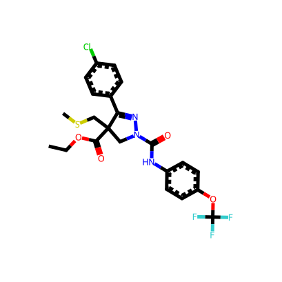 CCOC(=O)C1(CSC)CN(C(=O)Nc2ccc(OC(F)(F)F)cc2)N=C1c1ccc(Cl)cc1